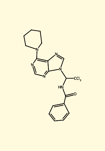 O=C(NC(n1cnc2c(N3CCCCC3)ncnc21)C(Cl)(Cl)Cl)c1ccccc1